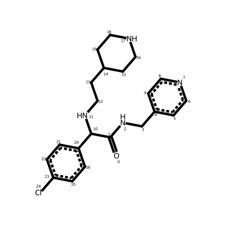 O=C(NCc1ccncc1)C(NCCC1CCNCC1)c1ccc(Cl)cc1